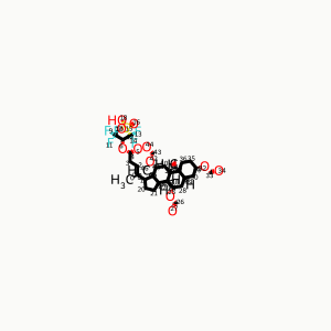 C[C@@H](CCC(=O)OC(C(F)(F)F)C(F)(F)S(=O)(=O)O)C1CC[C@H]2[C@@H]3[C@H](OC=O)C[C@@H]4C[C@H](OC=O)CC[C@]4(C)[C@H]3C[C@H](OC=O)[C@]12C